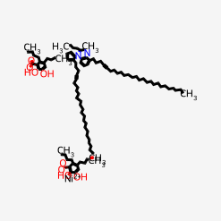 CCCCCCCCCCCCCCCCCCCCCC#CCCCc1ccccc1N=C(C)C(CCCC)=Nc1ccccc1CCCC#CCCCCCCCCCCCCCCCCCCCCC.CCCCCc1c(CCCC)cc(O)c(O)c1C(=O)[O-].CCCCCc1c(CCCC)cc(O)c(O)c1C(=O)[O-].[Ni+2]